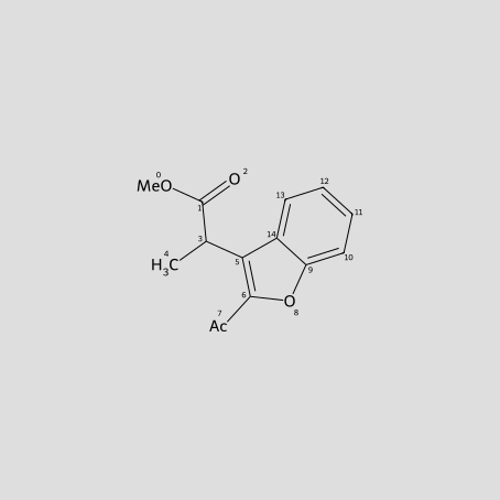 COC(=O)C(C)c1c(C(C)=O)oc2ccccc12